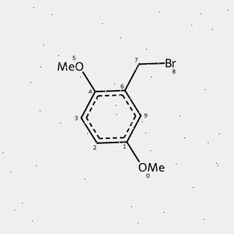 COc1ccc(OC)c(CBr)c1